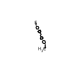 C=CCC[C@H]1CC[C@H](c2ccc(CCc3ccc([C@H]4CC[C@H](CCF)CC4)cc3)cc2)CC1